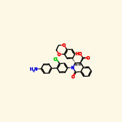 Nc1ccc(-c2ccc(N3C(=O)c4ccccc4[C@H](C(=O)O)[C@H]3c3ccc4c(c3)OCCO4)cc2Cl)cc1